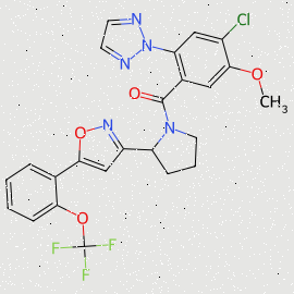 COc1cc(C(=O)N2CCCC2c2cc(-c3ccccc3OC(F)(F)F)on2)c(-n2nccn2)cc1Cl